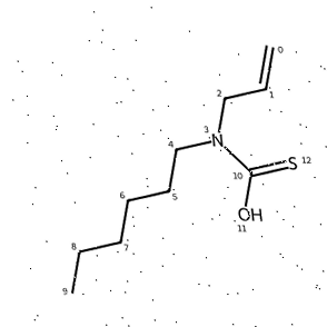 C=CCN(CCCCCC)C(O)=S